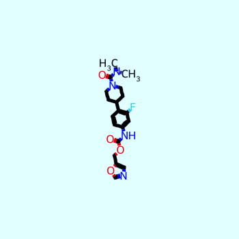 CN(C)C(=O)N1CCC(c2ccc(NC(=O)OCc3cnco3)cc2F)CC1